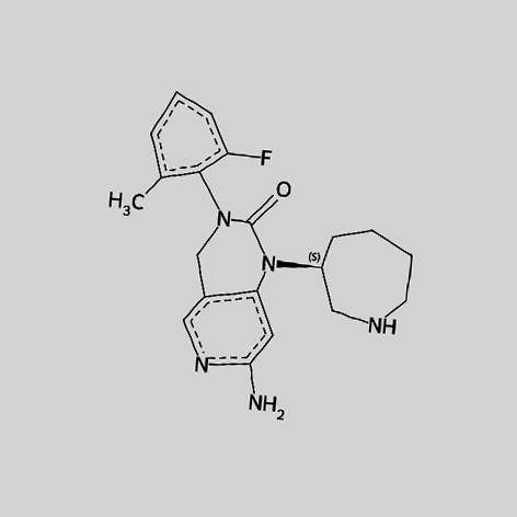 Cc1cccc(F)c1N1Cc2cnc(N)cc2N([C@H]2CCCCNC2)C1=O